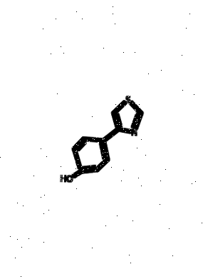 Oc1ccc(-c2cscn2)cc1